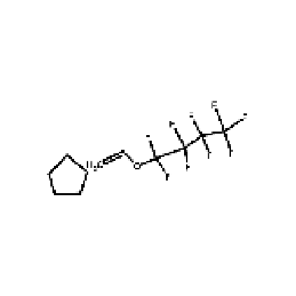 C1CCCC1.C=COC(F)(F)C(F)(F)C(F)(F)C(F)(F)F